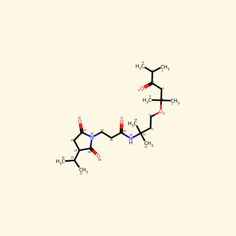 CC(C)C(=O)CC(C)(C)OCCC(C)(C)NC(=O)CCN1C(=O)CC(C(C)C)C1=O